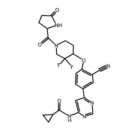 N#Cc1cc(-c2cc(NC(=O)C3CC3)ncn2)ccc1OC1CCN(C(=O)C2CCC(=O)N2)CC1(F)F